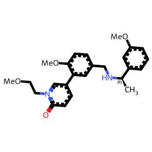 COCCn1cc(-c2cc(CN[C@H](C)c3cccc(OC)c3)ccc2OC)ccc1=O